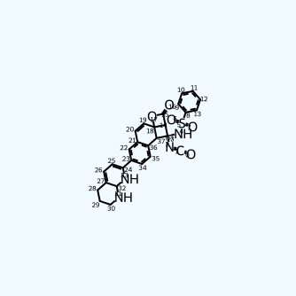 O=C=N[C@@]1(NS(=O)(=O)c2ccccc2)C2C(=O)OC23C=Cc2cc(C4=CC=C5CCCNC5N4)ccc2C31